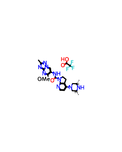 COc1nc2nc(C)nn2cc1NC(=O)N1CCc2c(N3C[C@@H](C)N[C@@H](C)C3)ccnc21.O=C(O)C(F)(F)F